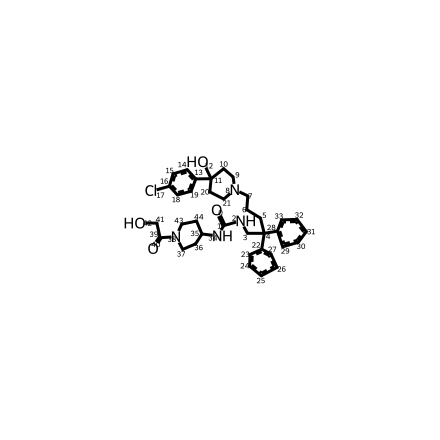 O=C(NCC(CCCN1CCC(O)(c2ccc(Cl)cc2)CC1)(c1ccccc1)c1ccccc1)NC1CCN(C(=O)CO)CC1